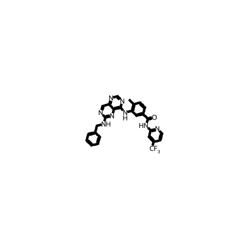 Cc1ccc(C(=O)Nc2cc(C(F)(F)F)ccn2)cc1Nc1ncnc2cnc(NCc3ccccc3)nc12